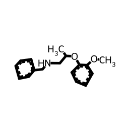 COc1ccccc1OC(C)CNCc1ccccc1